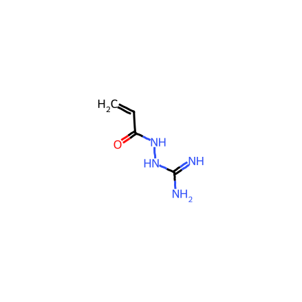 C=CC(=O)NNC(=N)N